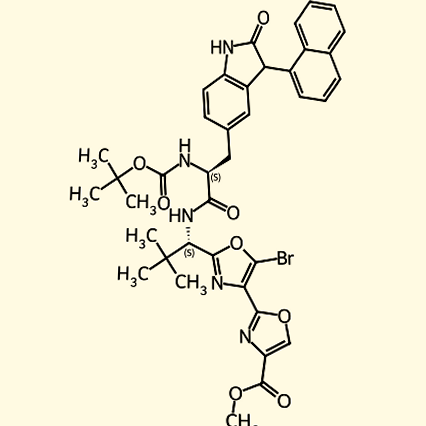 COC(=O)c1coc(-c2nc([C@@H](NC(=O)[C@H](Cc3ccc4c(c3)C(c3cccc5ccccc35)C(=O)N4)NC(=O)OC(C)(C)C)C(C)(C)C)oc2Br)n1